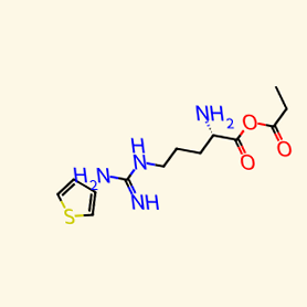 CCC(=O)OC(=O)[C@@H](N)CCCNC(=N)N.c1ccsc1